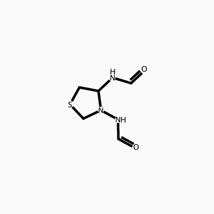 O=CNC1CSCN1NC=O